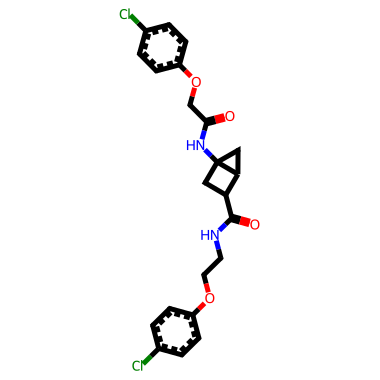 O=C(COc1ccc(Cl)cc1)NC12CC(C(=O)NCCOc3ccc(Cl)cc3)C1C2